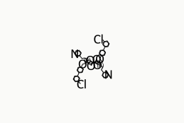 O=C(O[C@H](CCc1cccnc1)COc1ccc(-c2cccc(Cl)c2)cc1)C(=O)O[C@H](CCc1cccnc1)COc1ccc(-c2cccc(Cl)c2)cc1